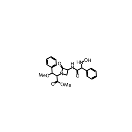 COC(=O)C(C(OC)c1ccccc1)N1CC(NC(=O)C(NO)c2ccccc2)C1=O